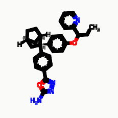 CCC(Oc1ccc([C@]2(c3ccc(-c4nnc(N)o4)cc3)C[C@@H]3CC[C@H]2C3)cc1)c1ccccn1